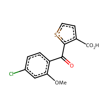 COc1cc(Cl)ccc1C(=O)c1sccc1C(=O)O